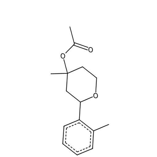 CC(=O)OC1(C)CCOC(c2ccccc2C)C1